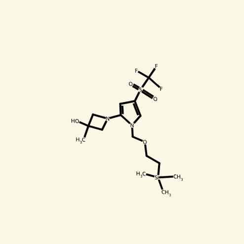 CC1(O)CN(c2cc(S(=O)(=O)C(F)(F)F)cn2COCC[Si](C)(C)C)C1